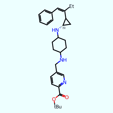 CCC(=Cc1ccccc1)C1C[C@@H]1NC1CCC(NCc2ccc(C(=O)OC(C)(C)C)nc2)CC1